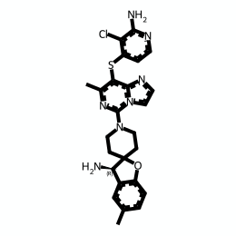 Cc1ccc2c(c1)[C@@H](N)C1(CCN(c3nc(C)c(Sc4ccnc(N)c4Cl)c4nccn34)CC1)O2